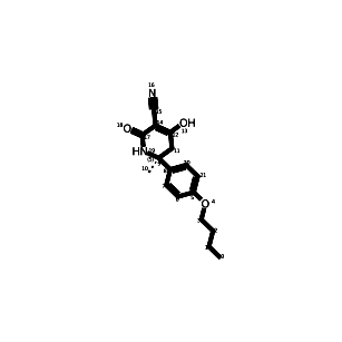 CCCCOc1ccc([C@]2(C)CC(O)=C(C#N)C(=O)N2)cc1